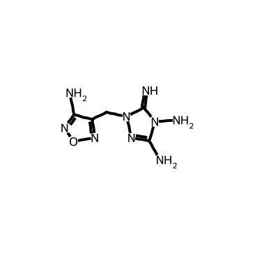 N=c1n(Cc2nonc2N)nc(N)n1N